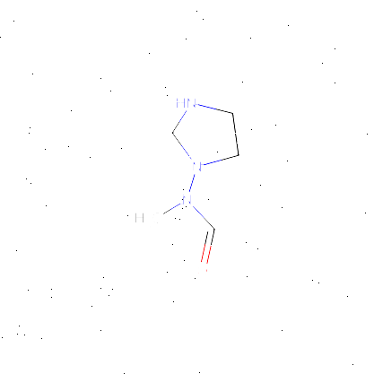 CN([C]=O)N1CCNC1